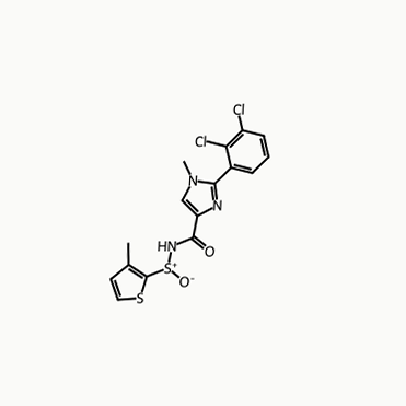 Cc1ccsc1[S+]([O-])NC(=O)c1cn(C)c(-c2cccc(Cl)c2Cl)n1